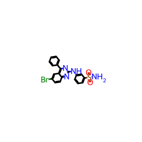 NS(=O)(=O)c1cccc(Nc2nc(-c3ccccc3)c3cc(Br)ccc3n2)c1